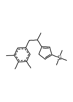 Cc1cc(CC(C)C2=CC([Si](C)(C)C)=CC2)cc(C)c1C